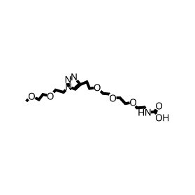 COCCOCCn1cc(CCOCCOCCOCCNC(=O)O)nn1